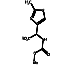 Cc1nc(C(NC(=O)OC(C)(C)C)C(=O)O)cs1